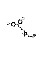 CCOC(=O)c1cc(CCCCN(c2ccc(Cl)cc2)c2ccc(Cl)cc2)on1